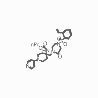 C=Cc1ccccc1S(=O)(=O)N1CCN(CC2(NC(=O)OCCC)CCN(c3ccncc3)CC2)C(=O)C1